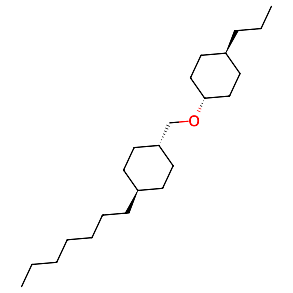 CCCCCCC[C@H]1CC[C@H](CO[C@H]2CC[C@H](CCC)CC2)CC1